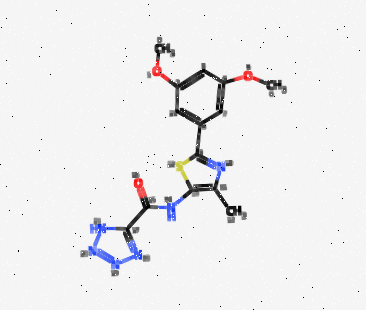 COc1cc(OC)cc(-c2nc(C)c(NC(=O)c3nnn[nH]3)s2)c1